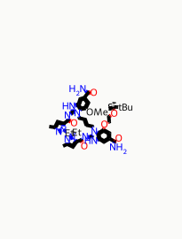 CCn1nc(C)cc1C(=O)/N=c1/[nH]c2cc(C(N)=O)cc(OC)c2n1C/C=C/Cn1/c(=N/C(=O)c2cc(C)nn2CC)[nH]c2cc(C(N)=O)cc(OCCO[Si](C)(C)C(C)(C)C)c21